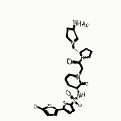 CC(=O)NC1CCN(C[C@@H]2CCCN2C(=O)CN2CCC[C@H](NS(=O)(=O)c3ccc(-c4ccc(Cl)s4)s3)C2=O)C1